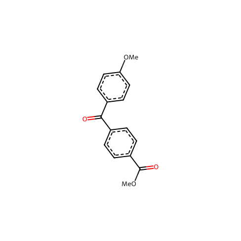 COC(=O)c1ccc(C(=O)c2ccc(OC)cc2)cc1